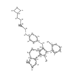 Cc1ccccc1-c1c(F)c2c3cn[nH]c3ccc2n1Cc1ccc(CCNCCC2CCC2)cc1